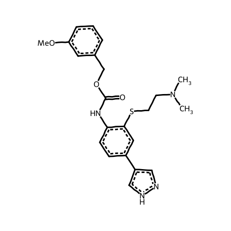 COc1cccc(COC(=O)Nc2ccc(-c3cn[nH]c3)cc2SCCN(C)C)c1